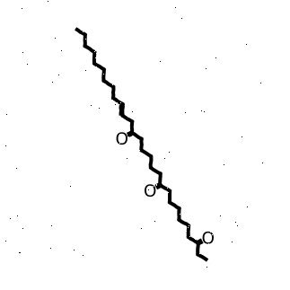 CCCCCCCCCC=CCC(=O)CCCCCC(=O)CCCCCCC(=O)CC